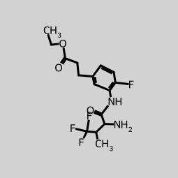 CCOC(=O)CCc1ccc(F)c(NC(=O)C(N)C(C)C(F)(F)F)c1